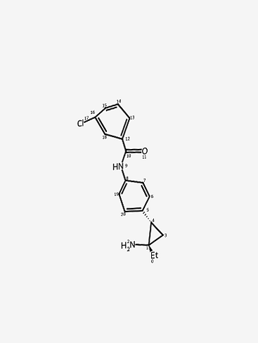 CC[C@]1(N)C[C@H]1c1ccc(NC(=O)c2cccc(Cl)c2)cc1